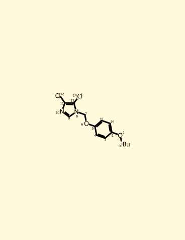 CCC(C)Oc1ccc(OCn2cnc(Cl)c2Cl)cc1